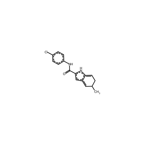 CC1C=c2cc(C(=O)Nc3ccc(Cl)cc3)[nH]c2=CC1